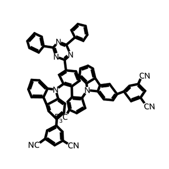 N#Cc1cc(C#N)cc(-c2ccc3c(c2)c2ccccc2n3-c2ccc(C(F)(F)F)cc2-c2ccc(-c3nc(-c4ccccc4)nc(-c4ccccc4)n3)cc2-n2c3ccccc3c3cc(-c4cc(C#N)cc(C#N)c4)ccc32)c1